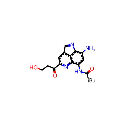 CCC(C)C(=O)Nc1cc(N)c2c3c(cc(C(=O)CCO)nc13)C=N2